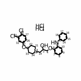 Cl.Cl.OC(COc1ccccc1Nc1ccccc1)CN1CCC(Oc2ccc(Cl)c(Cl)c2)CC1